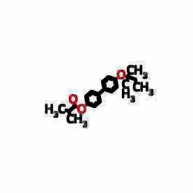 CCC(C)(C)Oc1ccc(-c2ccc(OC(=O)C(C)C)cc2)cc1